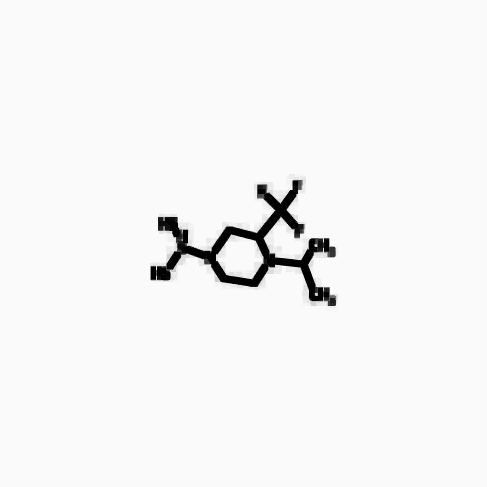 CC(C)N1CCN([SH](S)S)CC1C(F)(F)F